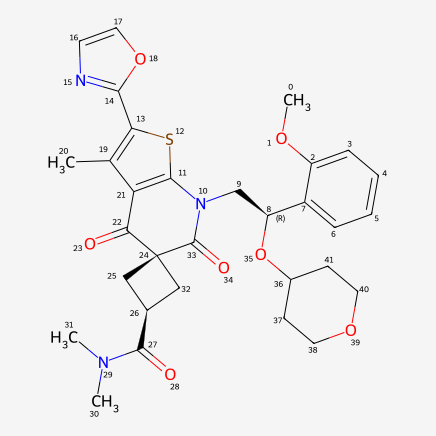 COc1ccccc1[C@H](CN1c2sc(-c3ncco3)c(C)c2C(=O)[C@]2(C[C@H](C(=O)N(C)C)C2)C1=O)OC1CCOCC1